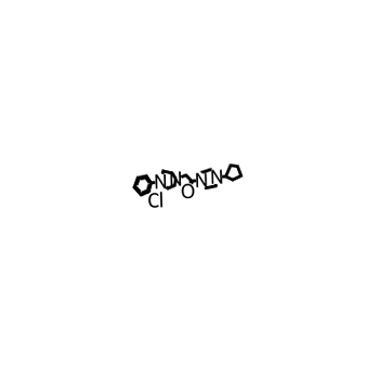 O=C(CN1CCN(c2ccccc2Cl)CC1)N1CCN(C2CCCC2)CC1